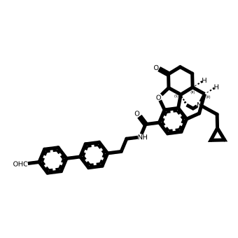 O=Cc1ccc(-c2ccc(CCNC(=O)c3ccc4c5c3OC3C(=O)CC[C@H]6[C@@H](C4)N(CC4CC4)CC[C@]536)cc2)cc1